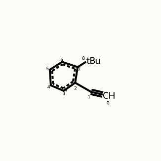 C#Cc1[c]cccc1C(C)(C)C